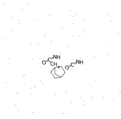 C.C1CC2CCC1C2.N=C=O.N=C=O